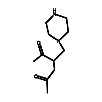 CC(=O)CC(CN1CCNCC1)C(C)=O